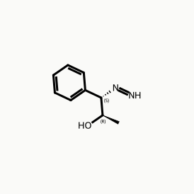 C[C@@H](O)[C@@H](N=N)c1ccccc1